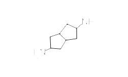 NC1CC2CC(N)CC2C1